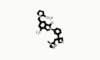 Cn1cnnc1CC1(c2cccc(N3Cc4c(cc(CN5CCCC5C(=O)O)cc4C(F)(F)F)C3=O)c2)COC1